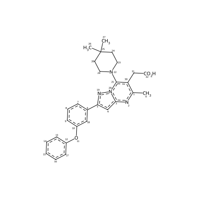 Cc1nc2cc(-c3cccc(Oc4ccccc4)c3)nn2c(N2CCC(C)(C)CC2)c1CC(=O)O